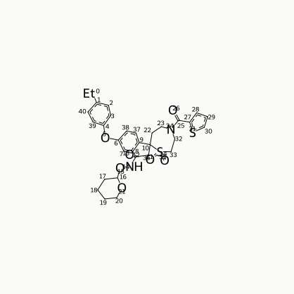 CCc1ccc(Oc2ccc(C3(CC(=O)NOC4CCCCO4)CCN(C(=O)c4cccs4)CCS3(=O)=O)cc2)cc1